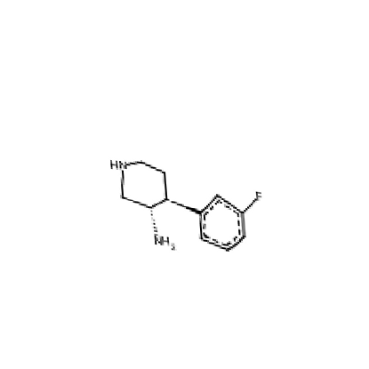 N[C@@H]1CNCC[C@H]1c1cccc(F)c1